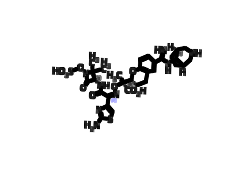 CC1(C)[C@H](NC(=O)/C(=N\O[C@](C)(C(=O)O)[C@H]2CCc3cc(C(=N)NC4[C@@H]5CC[C@H]4CNC5)ccc3O2)c2csc(N)n2)C(=O)N1OS(=O)(=O)O